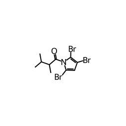 CC(C)C(C)C(=O)n1c(Br)cc(Br)c1Br